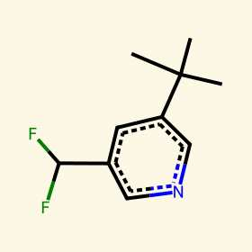 CC(C)(C)c1cncc(C(F)F)c1